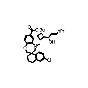 CCC/C=C/[C@@H](O)[C@@H]1CC[C@H]1CN1C[C@@]2(CCCc3cc(Cl)ccc32)COc2ccc(C(=O)OCC(C)C)cc21